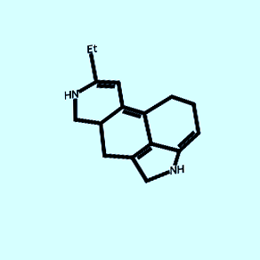 CCC1=CC2=C3CCC=C4NCC(=C43)CC2CN1